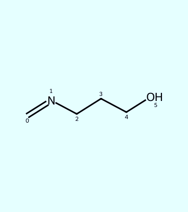 C=NCCCO